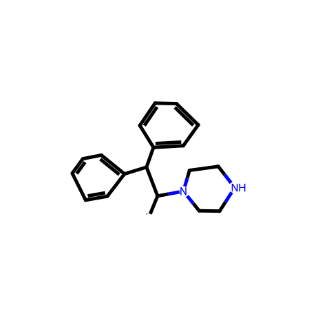 [CH2]C(C(c1ccccc1)c1ccccc1)N1CCNCC1